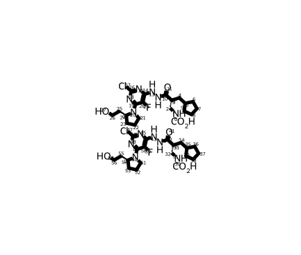 O=C(O)NC[C@@H](CC1CCCC1)C(=O)NNc1nc(Cl)nc(N2CCC[C@H]2CCO)c1F.O=C(O)NC[C@@H](CC1CCCC1)C(=O)NNc1nc(Cl)nc(N2CCC[C@H]2CCO)c1F